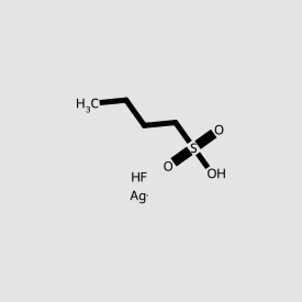 CCCCS(=O)(=O)O.F.[Ag]